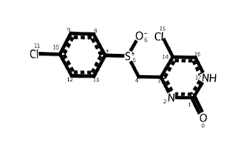 O=c1nc(C[S+]([O-])c2ccc(Cl)cc2)c(Cl)c[nH]1